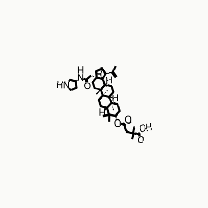 C=C(C)[C@@H]1CC[C@]2(CC(=O)N[C@@H]3CCNC3)CC[C@]3(C)[C@H](CC[C@@H]4[C@@]5(C)CC[C@H](OC(=O)CC(C)(C)C(=O)O)C(C)(C)[C@@H]5CC[C@]43C)[C@@H]12